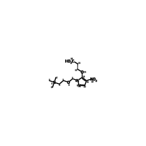 C[Si](C)(C)CCOCn1ncc([N+](=O)[O-])c1OCCC(=O)O